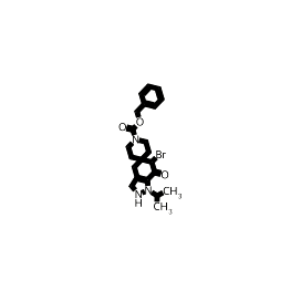 CC(C)N1NCC2=C1C(=O)C(Br)C1(CCN(C(=O)OCc3ccccc3)CC1)C2